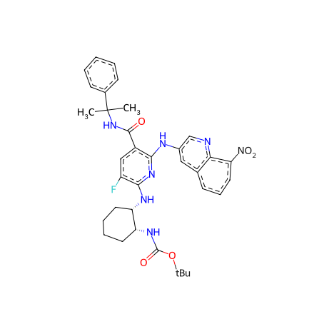 CC(C)(C)OC(=O)N[C@@H]1CCCC[C@@H]1Nc1nc(Nc2cnc3c([N+](=O)[O-])cccc3c2)c(C(=O)NC(C)(C)c2ccccc2)cc1F